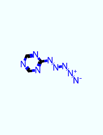 [N-]=[N+]=NN=Nc1ncncn1